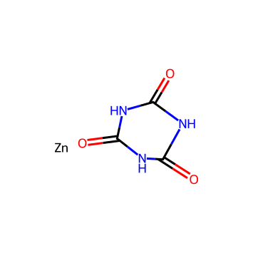 O=c1[nH]c(=O)[nH]c(=O)[nH]1.[Zn]